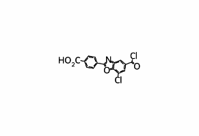 O=C(O)c1ccc(-c2nc3cc(C(=O)Cl)cc(Cl)c3o2)cc1